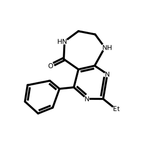 CCc1nc2c(c(-c3ccccc3)n1)C(=O)NCCN2